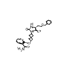 NC(=O)c1cccnc1OC1CC2(C1)CC(N1C(=O)N[C@@H](CCOCc3ccccc3)C1=O)C2